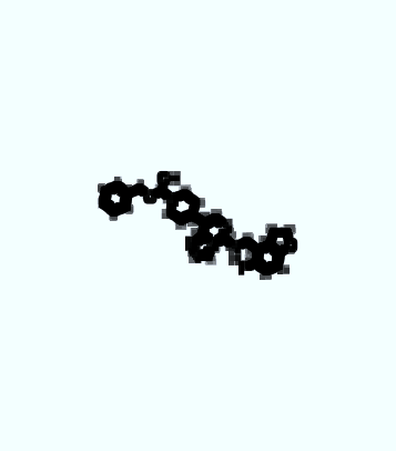 OC(OCc1ccccc1)N1CC=C(c2cnc(NCc3c(F)ccc4c3CCO4)n3cnnc23)CC1